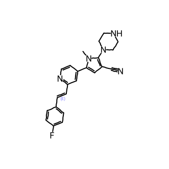 Cn1c(-c2ccnc(/C=C/c3ccc(F)cc3)c2)cc(C#N)c1N1CCNCC1